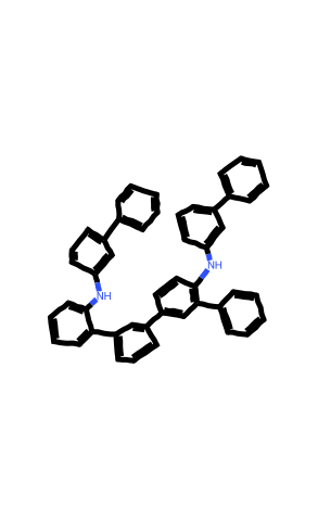 c1ccc(-c2cccc(Nc3ccccc3-c3cccc(-c4ccc(Nc5cccc(-c6ccccc6)c5)c(-c5ccccc5)c4)c3)c2)cc1